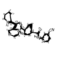 N#Cc1ccnc(NC(=O)c2ccc(C3=NC(C4CCCCN4)=C4C=NC=C[N+]34N)cc2)c1